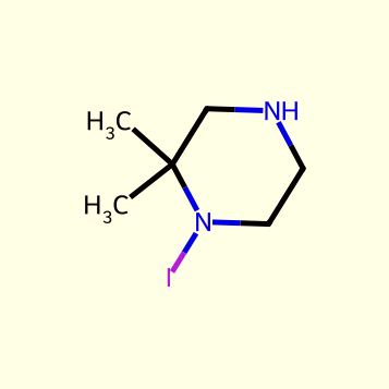 CC1(C)CNCCN1I